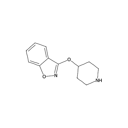 c1ccc2c(OC3CCNCC3)noc2c1